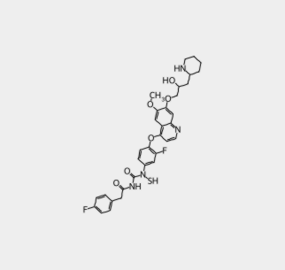 COc1cc2c(Oc3ccc(N(S)C(=O)NC(=O)Cc4ccc(F)cc4)cc3F)ccnc2cc1OCC(O)CC1CCCCN1